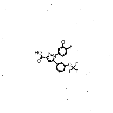 O=C(O)c1cc(-c2cccc(OC(F)(F)F)c2)n(-c2ccc(F)c(Cl)c2)n1